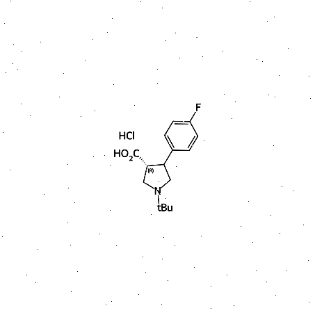 CC(C)(C)N1CC(c2ccc(F)cc2)[C@@H](C(=O)O)C1.Cl